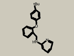 CC(C)(C)c1ccc(Oc2ccccc2CNc2ccccn2)cc1